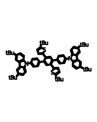 CC(C)(C)c1ccc2c(c1)c1cc(C(C)(C)C)ccc1n2-c1ccc(-c2cc(-c3ccc(C(C)(C)C)s3)c(-c3ccc(-n4c5ccc(C(C)(C)C)cc5c5cc(C(C)(C)C)ccc54)cc3)cc2-c2ccc(C(C)(C)C)s2)cc1